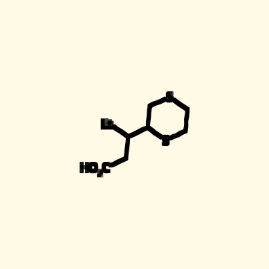 CCC(CC(=O)O)C1CSCCS1